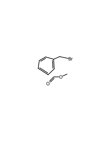 BrCc1ccccc1.COC=O